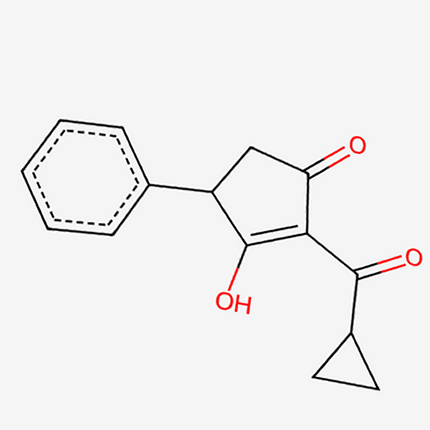 O=C1CC(c2ccccc2)C(O)=C1C(=O)C1CC1